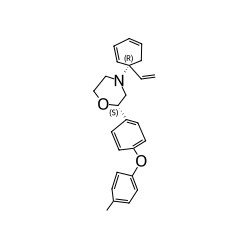 C=C[C@@]1(N2CCO[C@@H](c3ccc(Oc4ccc(C)cc4)cc3)C2)C=CC=CC1